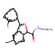 CCCCCCCNC(=O)c1oc(-c2ccccc2Cl)c2cc(C)ccc12